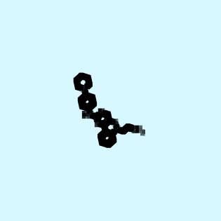 C=CCN1Sc2cnc(Nc3ccc(N4CCCCC4)cc3)nc2-c2ccccc21